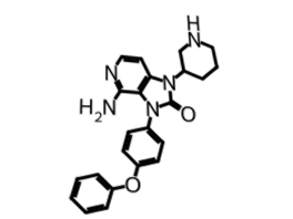 Nc1nccc2c1n(-c1ccc(Oc3ccccc3)cc1)c(=O)n2C1CCCNC1